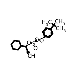 C#CC(OS(=O)OOc1ccc(C(C)(C)C)cc1)C1CCCCC1